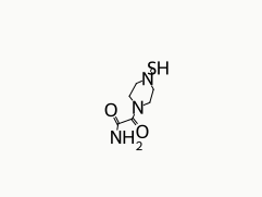 NC(=O)C(=O)N1CCN(S)CC1